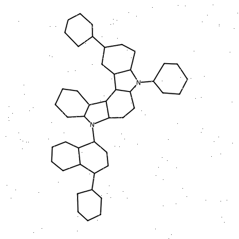 C1CCC(C2CCC3C(C2)C2C4C5CCCCC5N(C5CCC(C6CCCCC6)C6CCCCC65)C4CCC2N3C2CCCCC2)CC1